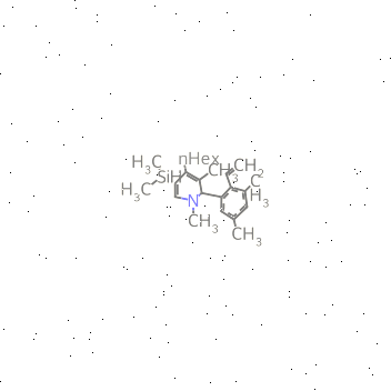 C=Cc1c(C)cc(C)cc1C1C(C)=C(CCCCCC)C([SiH](C)C)=CN1C